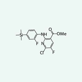 COC(=O)c1cc(F)c(Cl)nc1Nc1ccc([Si](C)(C)C)cc1F